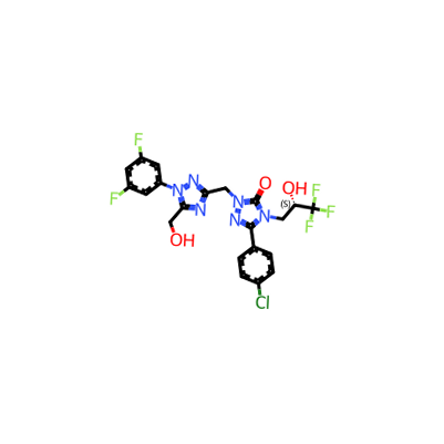 O=c1n(Cc2nc(CO)n(-c3cc(F)cc(F)c3)n2)nc(-c2ccc(Cl)cc2)n1C[C@H](O)C(F)(F)F